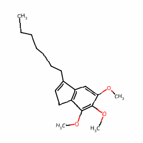 CCCCCCCC1=CCc2c1cc(OC)c(OC)c2OC